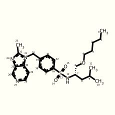 CCCCCOC[C@H](CC(C)C)NS(=O)(=O)c1ccc(Cn2c(C)nc3cnccc32)cc1